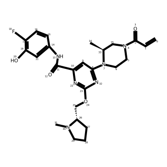 C=CC(=O)N1CCN(c2cc(C(=O)Nc3ccc(F)c(O)c3)nc(OC[C@@H]3CCCN3C)n2)[C@@H](C)C1